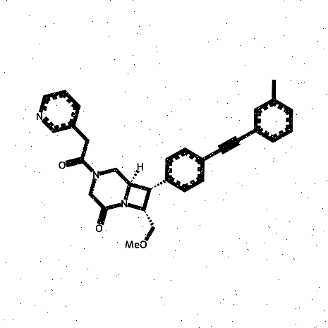 COC[C@H]1[C@@H](c2ccc(C#Cc3cccc(C)c3)cc2)[C@@H]2CN(C(=O)Cc3cccnc3)CC(=O)N12